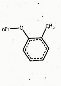 [CH2]c1ccccc1OC[CH]C